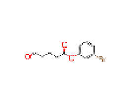 O=CCCCC(=O)Oc1cccc(Br)c1